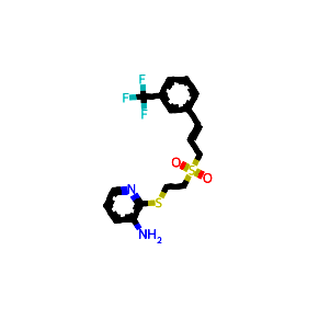 Nc1cccnc1SCCS(=O)(=O)CC=Cc1cccc(C(F)(F)F)c1